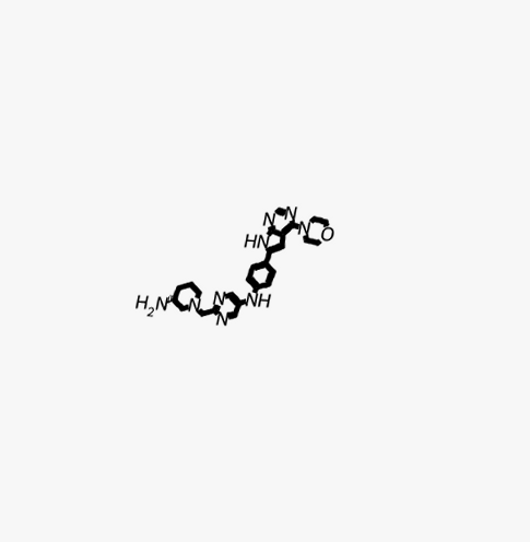 N[C@@H]1CCCN(Cc2ncc(Nc3ccc(-c4cc5c(N6CCOCC6)ncnc5[nH]4)cc3)cn2)C1